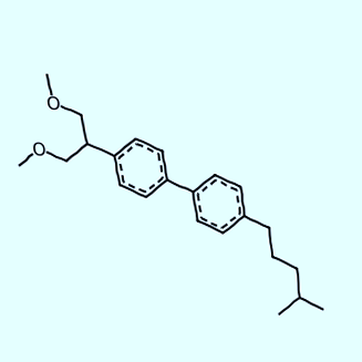 COCC(COC)c1ccc(-c2ccc(CCCC(C)C)cc2)cc1